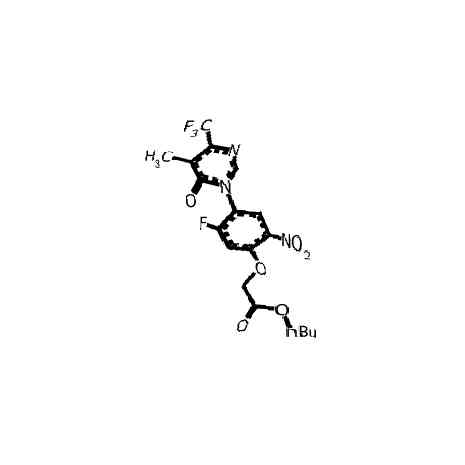 CCCCOC(=O)COc1cc(F)c(-n2cnc(C(F)(F)F)c(C)c2=O)cc1[N+](=O)[O-]